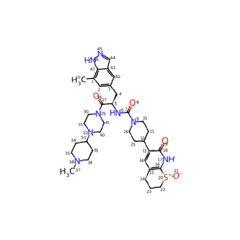 Cc1cc(C[C@@H](NC(=O)N2CCC(c3cc4c([nH]c3=O)[S+]([O-])CCC4)CC2)C(=O)N2CCN(C3CCN(C)CC3)CC2)cc2cn[nH]c12